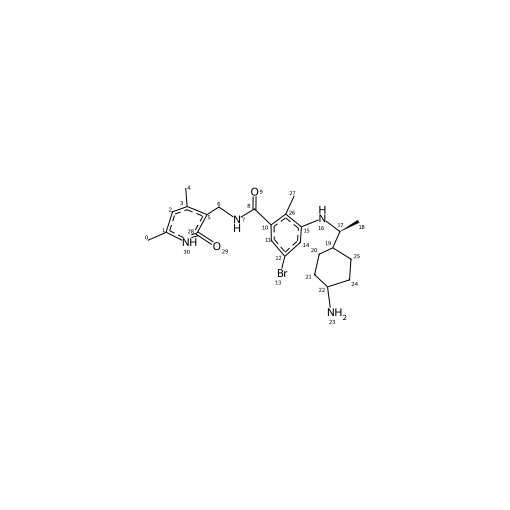 Cc1cc(C)c(CNC(=O)c2cc(Br)cc(N[C@@H](C)C3CCC(N)CC3)c2C)c(=O)[nH]1